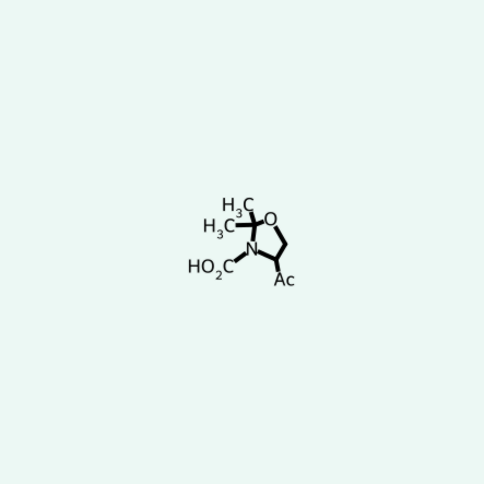 CC(=O)C1COC(C)(C)N1C(=O)O